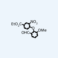 CCOC(=O)c1ccc(Oc2c(C=O)cccc2OC)c([N+](=O)[O-])c1